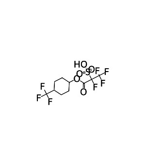 O=C(OC1CCC(C(F)(F)F)CC1)C(F)(C(F)(F)F)S(=O)(=O)O